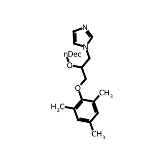 CCCCCCCCCCOC(COc1c(C)cc(C)cc1C)Cn1ccnc1